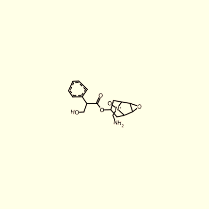 NC[N+]1([O-])C2CC(OC(=O)C(CO)c3ccccc3)CC1C1OC12